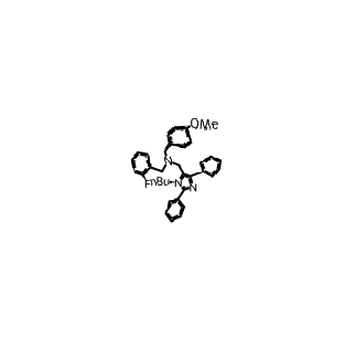 CCCCn1c(-c2ccccc2)nc(-c2ccccc2)c1CN(Cc1ccc(OC)cc1)Cc1ccccc1F